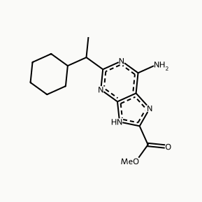 COC(=O)c1nc2c(N)nc(C(C)C3CCCCC3)nc2[nH]1